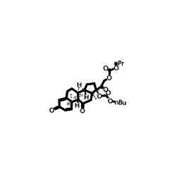 CCCCOC(=O)O[C@]1(C(=O)COC(=O)OCCC)CC[C@H]2[C@@H]3CCC4=CC(=O)C=C[C@]4(C)[C@H]3C(=O)C[C@@]21C